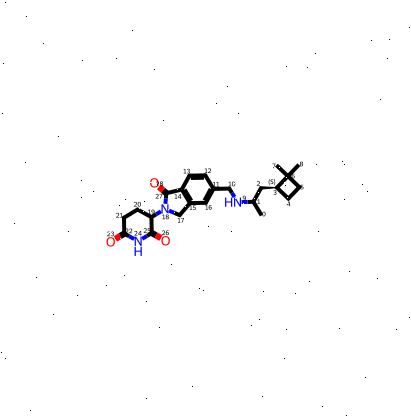 CC(C[C@@H]1CCC1(C)C)NCc1ccc2c(c1)CN(C1CCC(=O)NC1=O)C2=O